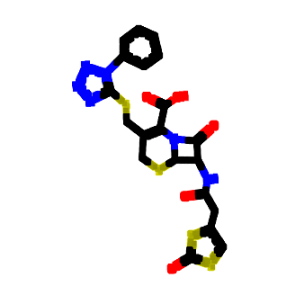 O=C(Cc1csc(=O)s1)NC1C(=O)N2C(C(=O)O)=C(CSc3nnnn3-c3ccccc3)CSC12